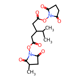 CC1CC(=O)N(OC(=O)CC(CC(=O)ON2C(=O)CCC2=O)C(C)C)C1=O